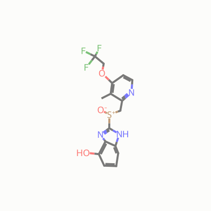 Cc1c(OCC(F)(F)F)ccnc1C[S+]([O-])c1nc2c(O)cccc2[nH]1